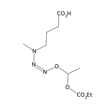 CCOC(=O)OC(C)O/N=N\N(C)CCCC(=O)O